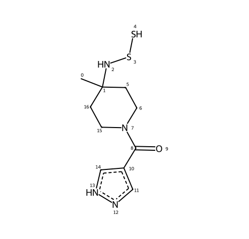 CC1(NSS)CCN(C(=O)c2cn[nH]c2)CC1